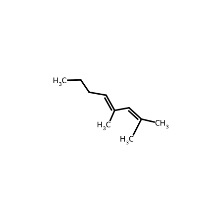 CCC/C=C(\C)C=C(C)C